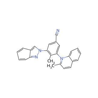 Cc1c(-n2cc3ccccc3n2)cc(C#N)cc1-[n+]1c(C)ccc2ccccc21